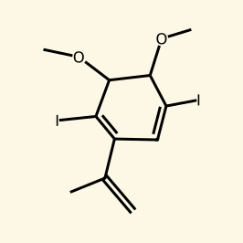 C=C(C)C1=C(I)C(OC)C(OC)C(I)=C1